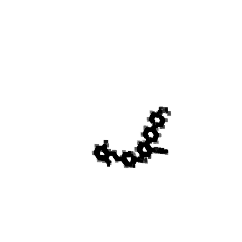 COc1cc(Nc2ncc(CCc3c(F)cccc3F)cn2)ccc1N1CCC(N2CCN(C)CC2)CC1